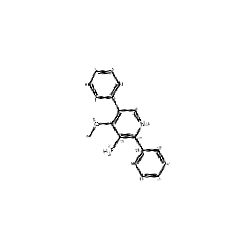 COc1c(-c2ccccc2)cnc(-c2ccccc2)c1P